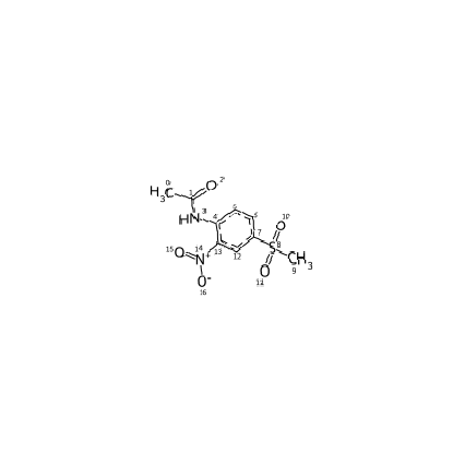 CC(=O)Nc1ccc(S(C)(=O)=O)cc1[N+](=O)[O-]